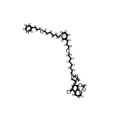 CC(=O)Oc1c(-c2cn(CCCCCCCCOCCCc3ccc[n+](CCCCCCOCCCc4cccnc4)c3)nn2)cc(Cl)c2cccnc12